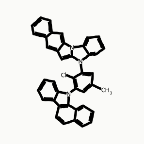 Cc1cc(-n2c3ccccc3c3ccc4ccccc4c32)c(Cl)c(-n2c3ccccc3n3c4cc5ccccc5cc4cc23)c1